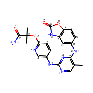 Cc1cnc(Nc2ccc(OC(C)(C)C(N)=O)nc2)nc1Nc1ccc2oc(=O)[nH]c2c1